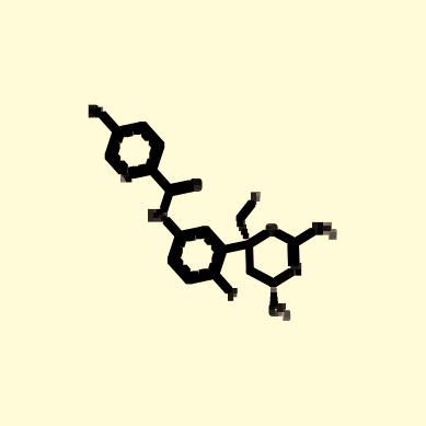 NC1=N[C@H](C(F)(F)F)C[C@@](CF)(c2cc(NC(=O)c3ccc(Br)cn3)ccc2F)O1